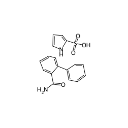 NC(=O)c1ccccc1-c1ccccc1.O=S(=O)(O)c1ccc[nH]1